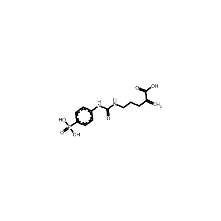 C=C(CCCNC(=O)Nc1ccc(P(=O)(O)O)cc1)C(=O)O